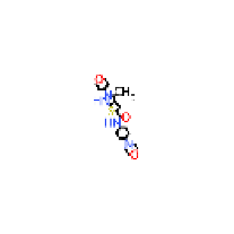 CC1C2CC(C(=O)N[C@H]3CC[C@H](N4CCOCC4)CC3)SC2NN1C1=CCOC=C1